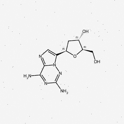 Nc1nc(N)c2ncc([C@H]3C[C@H](O)[C@@H](CO)O3)n2n1